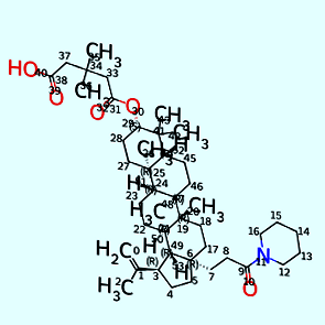 C=C(C)[C@@H]1CC[C@]2(CCC(=O)N3CCCCC3)CC[C@]3(C)[C@H](CC[C@@H]4[C@@]5(C)CC[C@H](OC(=O)CC(C)(C)CC(=O)O)C(C)(C)[C@@H]5CC[C@]43C)[C@@H]12